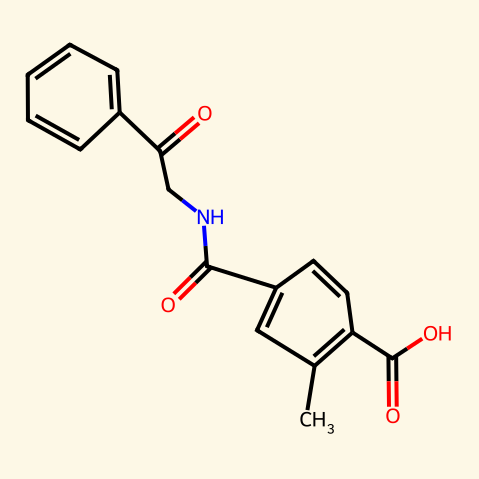 Cc1cc(C(=O)NCC(=O)c2ccccc2)ccc1C(=O)O